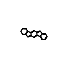 C1=CC2=C(C=c3cc4c(cc32)=Cc2ccccc2-4)CC1